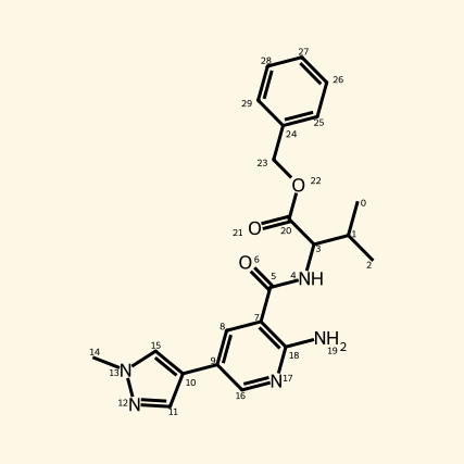 CC(C)C(NC(=O)c1cc(-c2cnn(C)c2)cnc1N)C(=O)OCc1ccccc1